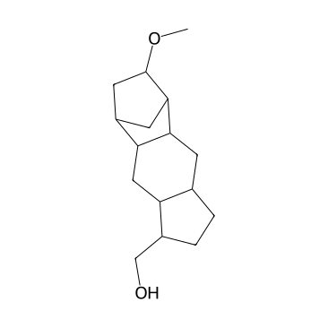 COC1CC2CC1C1CC3CCC(CO)C3CC21